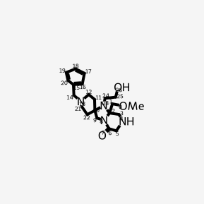 COCC12CNCC(=O)N1CC1(CCN(Cc3ccccc3)CC1)N2CCO